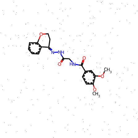 COc1ccc(C(=O)NCC(=O)N/N=C2\CCOc3ccccc32)cc1OC